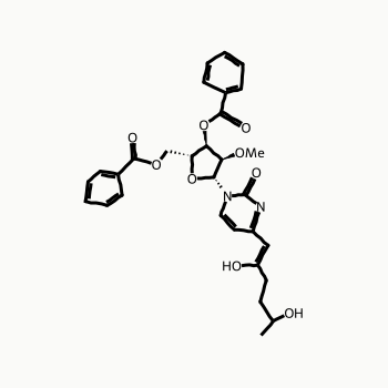 CO[C@@H]1[C@H](OC(=O)c2ccccc2)[C@@H](COC(=O)c2ccccc2)O[C@H]1n1ccc(/C=C(\O)CCC(C)O)nc1=O